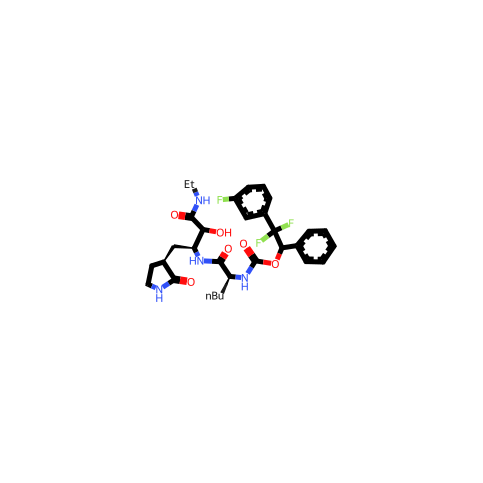 CCCC[C@H](NC(=O)OC(c1ccccc1)C(F)(F)c1cccc(F)c1)C(=O)N[C@@H](C[C@@H]1CCNC1=O)C(O)C(=O)NCC